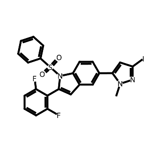 Cn1nc(I)cc1-c1ccc2c(c1)cc(-c1c(F)cccc1F)n2S(=O)(=O)c1ccccc1